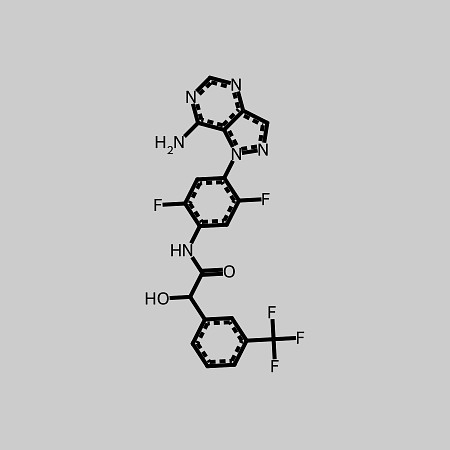 Nc1ncnc2cnn(-c3cc(F)c(NC(=O)C(O)c4cccc(C(F)(F)F)c4)cc3F)c12